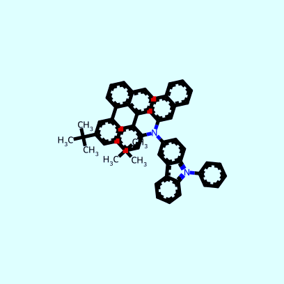 CC(C)(C)c1cc(-c2cccc3cccc(-c4ccccc4N(c4ccc5ccccc5c4)c4ccc5c(c4)c4ccccc4n5-c4ccccc4)c23)cc(C(C)(C)C)c1